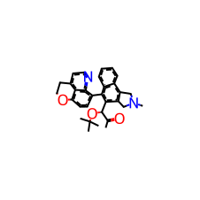 CC(=O)[C@@H](OC(C)(C)C)c1c2c(c3ccccc3c1-c1ccc3c4c(ccnc14)CCO3)CN(C)C2